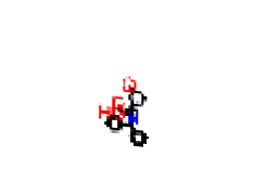 O=C1CCC[C@H]([C@H](N=C(c2ccccc2)c2ccccc2)C(=O)O)C1